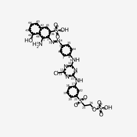 Nc1c(N=Nc2ccc(Nc3nc(Cl)nc(Nc4cccc(S(=O)(=O)CCOS(=O)(=O)O)c4)n3)cc2)c(S(=O)(=O)O)cc2cccc(O)c12